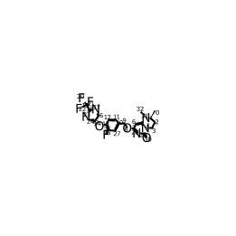 C[C@H]1CCn2c(cc(OCc3ccc(Oc4cnc(C(F)(F)F)nc4)c(F)c3)nc2=O)N1C